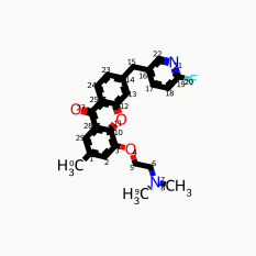 Cc1cc(OCCN(C)C)c2oc3cc(Cc4ccc(F)nc4)ccc3c(=O)c2c1